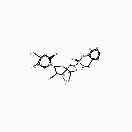 Nc1nc(=O)n([C@@H]2O[C@@](COP3(=S)OCc4ccccc4O3)(C(F)F)[C@H](O)[C@H]2F)cc1Cl